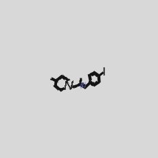 C/C(=C\c1ccc(I)cc1)CN1CCC(C)CC1